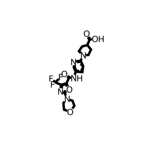 O=C(Nc1ccc(N2CCC(C(=O)O)CC2)nc1)c1oc(N2CCOCC2)nc1C(F)(F)F